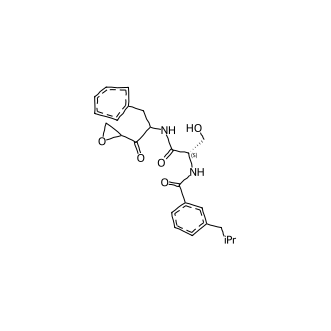 CC(C)Cc1cccc(C(=O)N[C@@H](CO)C(=O)NC(Cc2ccccc2)C(=O)C2CO2)c1